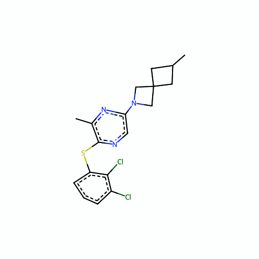 Cc1nc(N2CC3(CC(C)C3)C2)cnc1Sc1cccc(Cl)c1Cl